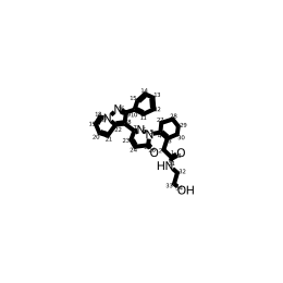 O=C(CC1=C(n2nc(-c3c(-c4ccccc4)nn4ccccc34)ccc2=O)CCCC1)NCCO